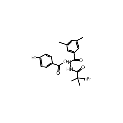 CCCC(C)(C)C(=O)NN(OC(=O)c1ccc(CC)cc1)C(=O)c1cc(C)cc(C)c1